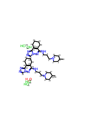 CC1CCN(CCCNc2nn3cnnc3c3c2CCCC3)CC1.CC1CCN(CCCNc2nn3cnnc3c3c2CCCC3)CC1.Cl.Cl.Cl.Cl.O